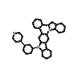 c1cc(-c2ccncc2)cc(-n2c3ccccc3c3cc4c(cc32)c2ccccc2c2cc3ccccc3n24)c1